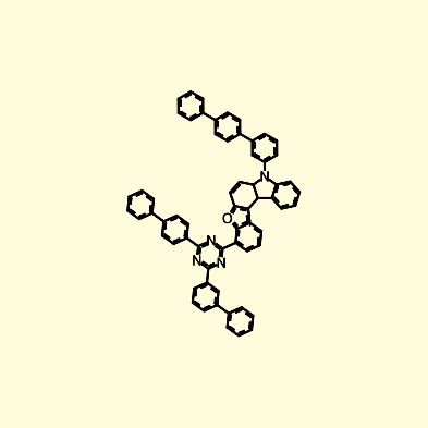 C1=CC2C(c3ccccc3N2c2cccc(-c3ccc(-c4ccccc4)cc3)c2)c2c1oc1c(-c3nc(-c4ccc(-c5ccccc5)cc4)nc(-c4cccc(-c5ccccc5)c4)n3)cccc21